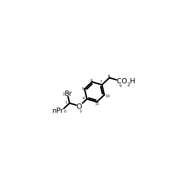 CCCC(Br)Oc1ccc(CC(=O)O)cc1